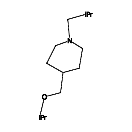 CC(C)CN1CCC(COC(C)C)CC1